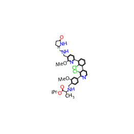 COc1cc(-c2nccc(-c3cccc(-c4ccc(CNC[C@@H]5CCC(=O)N5)c(OC)n4)c3Cl)c2Cl)ccc1CNC(C)C(=O)OC(C)C